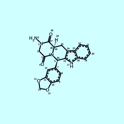 NN1CC(=O)N2[C@H](c3ccc4c(c3)OCO4)c3[nH]c4ccccc4c3C[C@@H]2C1=O